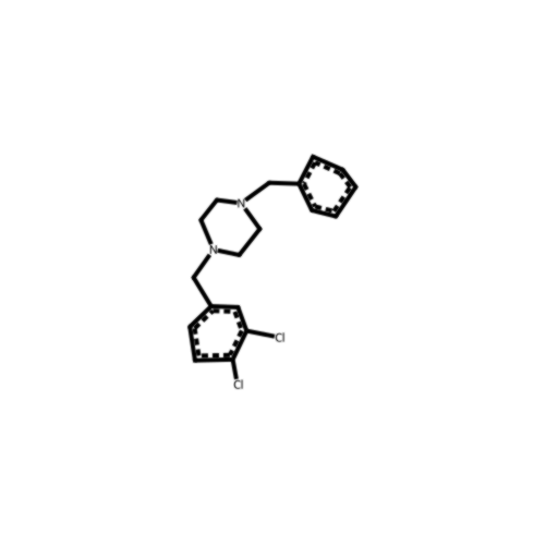 Clc1ccc(CN2CCN(Cc3ccccc3)CC2)cc1Cl